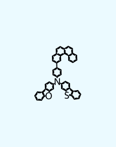 c1ccc2c(c1)ccc1ccc3ccc(-c4ccc(N(c5ccc6c(c5)oc5ccccc56)c5ccc6c(c5)sc5ccccc56)cc4)cc3c12